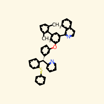 Cc1cccc(C)c1-c1cc(Oc2cccc([C@H](c3ccccn3)c3ccccc3Sc3ccccc3)c2)cc(-c2nccc3ccccc23)c1